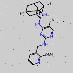 COc1ncccc1CNc1ncc(C#N)c(NC[C@]23CC4C[C@H](C2)[C@@H](N)[C@@H](C4)C3)n1